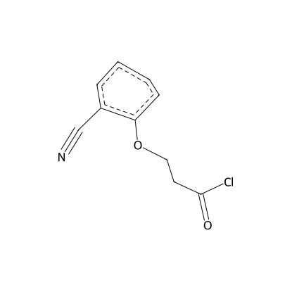 N#Cc1ccccc1OCCC(=O)Cl